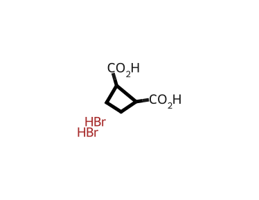 Br.Br.O=C(O)C1CCC1C(=O)O